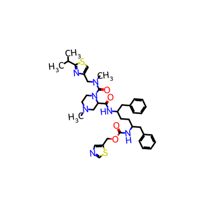 CC(C)c1nc(CN(C)C(=O)N2CCN(C)CC2C(=O)NC(CCC(Cc2ccccc2)NC(=O)OCc2cncs2)Cc2ccccc2)cs1